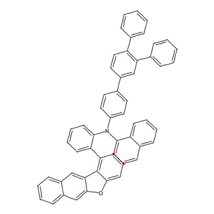 c1ccc(-c2ccc(-c3ccc(N(c4ccccc4-c4cccc5oc6cc7ccccc7cc6c45)c4cccc5ccccc45)cc3)cc2-c2ccccc2)cc1